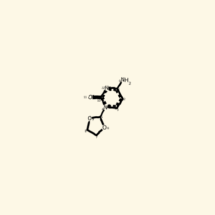 Nc1ccn(C2OCCO2)c(=O)n1